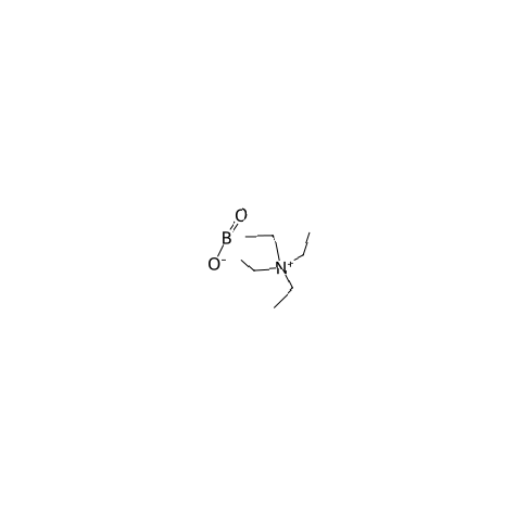 CC[N+](CC)(CC)CC.O=B[O-]